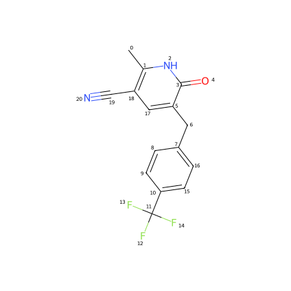 Cc1[nH]c(=O)c(Cc2ccc(C(F)(F)F)cc2)cc1C#N